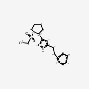 CC(C)CS(=O)(=O)N1CCCC[C@H]1c1nc(CCc2ccccc2)no1